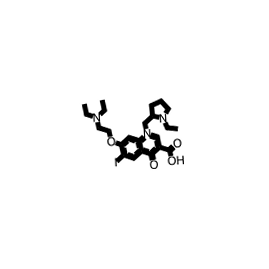 CCN(CC)CCOc1cc2c(cc1I)c(=O)c(C(=O)O)cn2CC1CCCN1CC